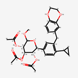 COC1O[C@@H](c2ccc(C3CC3)c(Cc3ccc4c(c3)OCCO4)c2)[C@H](OC(C)=O)[C@@H](OC(C)=O)[C@@H]1OC(C)=O